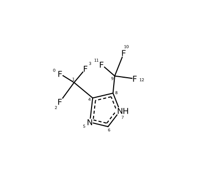 FC(F)(F)c1nc[nH]c1C(F)(F)F